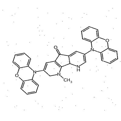 CN1CC(N2c3ccccc3Oc3ccccc32)=CC2=C1C1NC=C(N3c4ccccc4Oc4ccccc43)C=C1C2=O